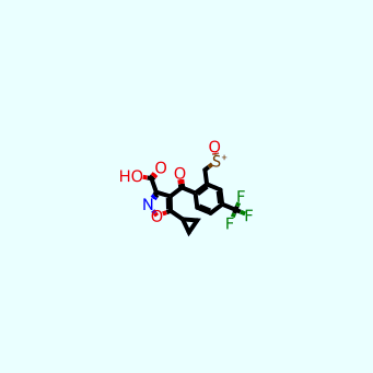 O=[S+]Cc1cc(C(F)(F)F)ccc1C(=O)c1c(C(=O)O)noc1C1CC1